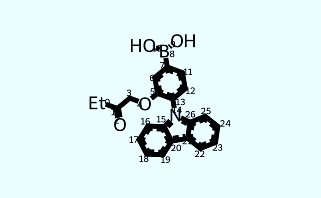 CCC(=O)COc1cc(B(O)O)ccc1-n1c2ccccc2c2ccccc21